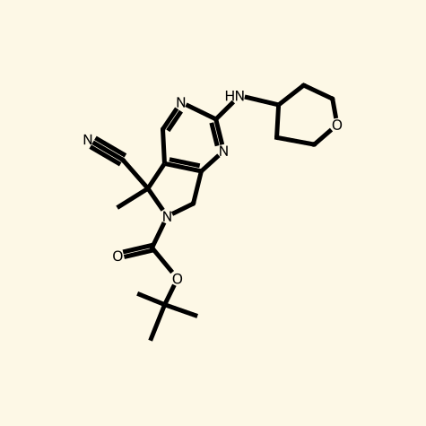 CC(C)(C)OC(=O)N1Cc2nc(NC3CCOCC3)ncc2C1(C)C#N